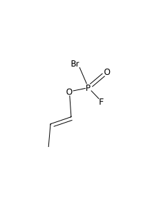 CC=COP(=O)(F)Br